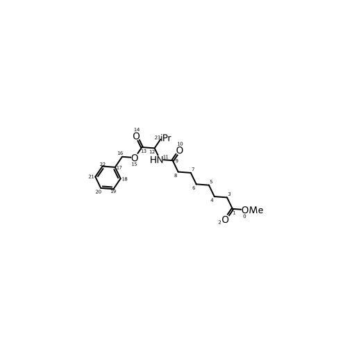 COC(=O)CCCCCCC(=O)NC(C(=O)OCc1ccccc1)C(C)C